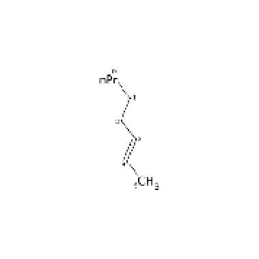 [CH2]CCCCC=CC